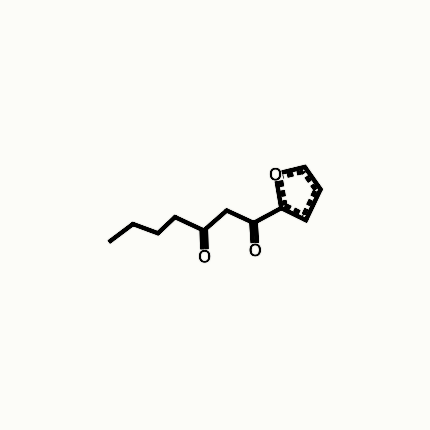 CCCCC(=O)CC(=O)c1ccco1